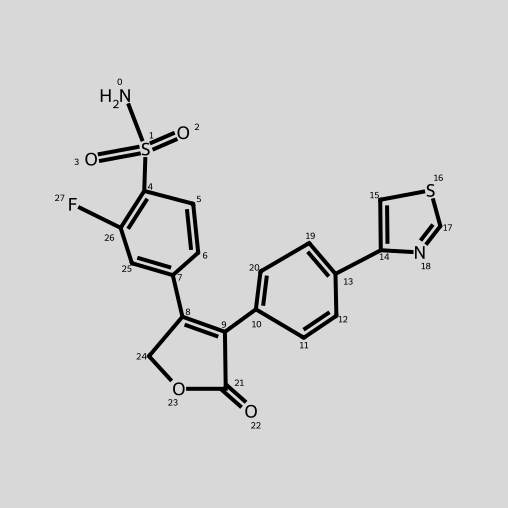 NS(=O)(=O)c1ccc(C2=C(c3ccc(-c4cscn4)cc3)C(=O)OC2)cc1F